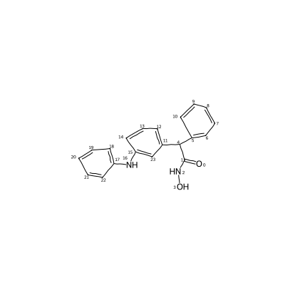 O=C(NO)C(c1ccccc1)c1cccc(Nc2ccccc2)c1